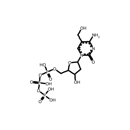 Nc1nc(=O)n(C2CC(O)C(COP(=O)(O)OP(=O)(O)OP(=O)(O)O)O2)cc1CO